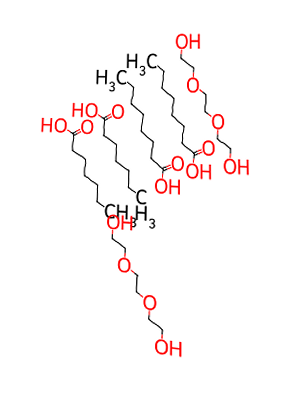 CCCCCCC(=O)O.CCCCCCC(=O)O.CCCCCCCC(=O)O.CCCCCCCC(=O)O.OCCOCCOCCO.OCCOCCOCCO